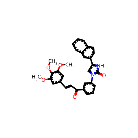 COc1cc(/C=C/C(=O)c2cccc(-n3cc(-c4ccc5ccccc5c4)[nH]c3=O)c2)cc(OC)c1OC